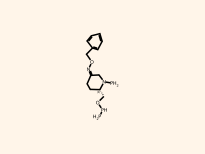 PPOC[C@@H]1CCC(=NOCc2ccccc2)CN1P